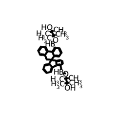 CC(C)(O)C(C)(C)OBc1cccc2c1-c1ccccc1CC21c2ccccc2-c2c(BOC(C)(C)C(C)(C)O)cccc21